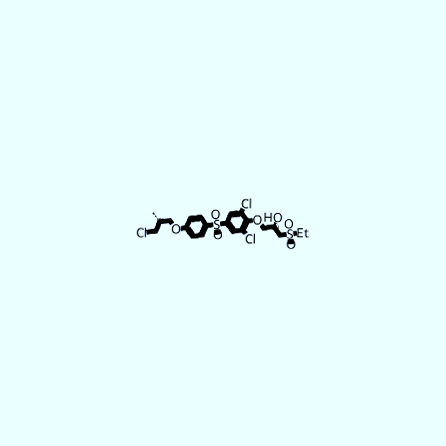 CCS(=O)(=O)C[C@H](O)COc1c(Cl)cc(S(=O)(=O)c2ccc(OC[C@@H](C)CCl)cc2)cc1Cl